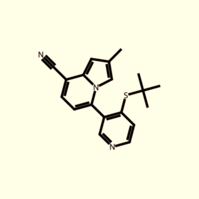 Cc1cc2c(C#N)ccc(-c3cnccc3SC(C)(C)C)n2c1